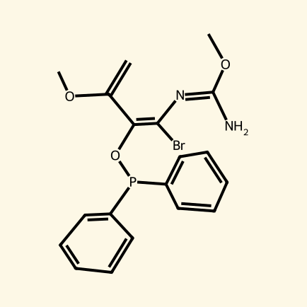 C=C(OC)/C(OP(c1ccccc1)c1ccccc1)=C(Br)\N=C(/N)OC